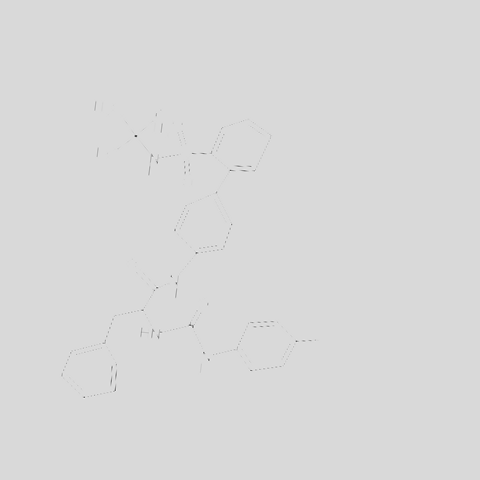 CC(C)(C)NS(=O)(=O)c1ccccc1-c1ccc(NC(=O)C(Cc2ccccc2)NC(=O)Nc2ccc(Cl)cc2)cc1